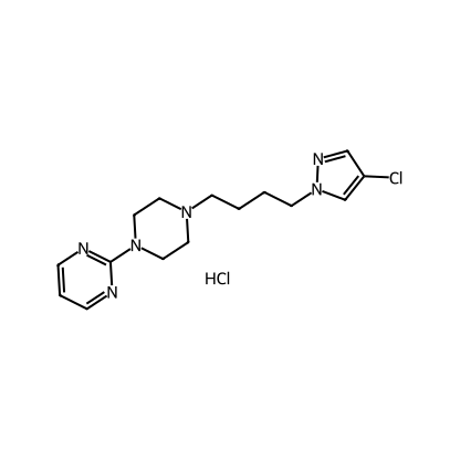 Cl.Clc1cnn(CCCCN2CCN(c3ncccn3)CC2)c1